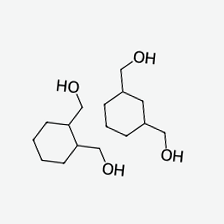 OCC1CCCC(CO)C1.OCC1CCCCC1CO